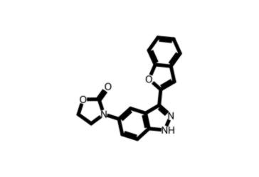 O=C1OCCN1c1ccc2[nH]nc(-c3cc4ccccc4o3)c2c1